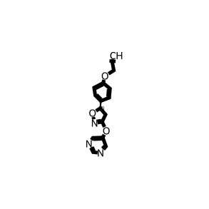 C#CCOc1ccc([C@H]2CC(Oc3cncnc3)=NO2)cc1